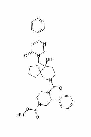 CC(C)(C)OC(=O)N1CCN(C(=O)N2CC[C@@](O)(Cn3cnc(-c4ccccc4)cc3=O)C3(CCCC3)C2)[C@H](c2ccccc2)C1